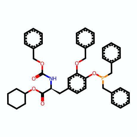 O=C(N[C@@H](Cc1ccc(OP(Cc2ccccc2)Cc2ccccc2)c(OCc2ccccc2)c1)C(=O)OC1CCCCC1)OCc1ccccc1